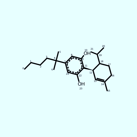 CCCCC(C)(C)c1cc(O)c([C@@H]2C=C(C)CCC2C(C)C)c(O)c1